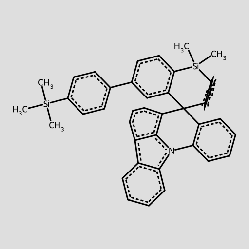 C[Si](C)(C)c1ccc(-c2ccc3c(c2)C2(c4ccccc4-n4c5ccccc5c5cccc2c54)c2ccccc2[Si]3(C)C)cc1